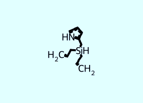 C=CC[SiH](CC=C)Cc1ccc[nH]1